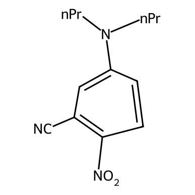 CCCN(CCC)c1ccc([N+](=O)[O-])c(C#N)c1